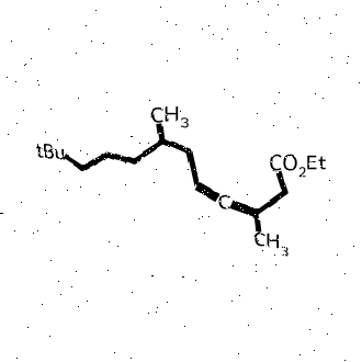 CCOC(=O)CC(C)=C=CCC(C)CCCC(C)(C)C